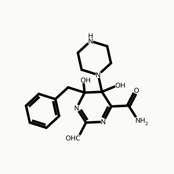 NC(=O)C1=NC(C=O)=NC(O)(Cc2ccccc2)C1(O)N1CCNCC1